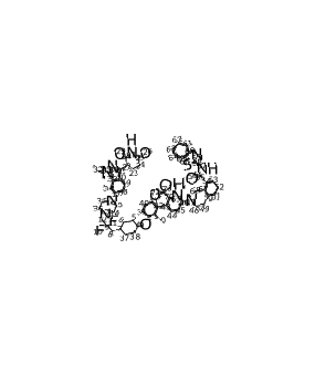 Cc1c(O[C@H]2CC[C@H](CC(F)(F)CN3CCN(c4ccc5c(C6CCC(=O)NC6=O)nn(C)c5c4)CC3)CC2)cccc1-c1ccc(N2CCc3cccc(C(=O)Nc4nc5ccccc5s4)c3C2)nc1C(=O)O